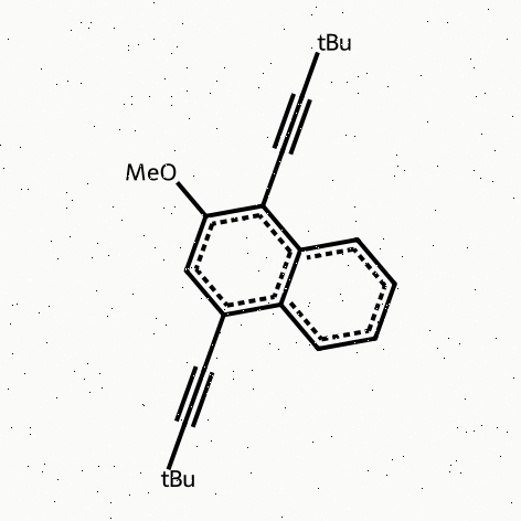 COc1cc(C#CC(C)(C)C)c2ccccc2c1C#CC(C)(C)C